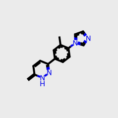 C=C1C=CC(c2ccc(-n3ccnc3)c(C)c2)=NN1